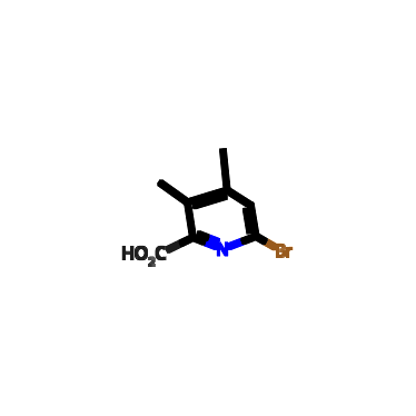 Cc1cc(Br)nc(C(=O)O)c1C